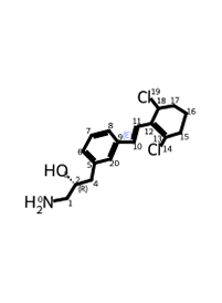 NC[C@H](O)Cc1cccc(/C=C/C2=C(Cl)CCCC2Cl)c1